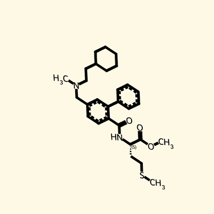 COC(=O)[C@H](CCSC)NC(=O)c1ccc(CN(C)CCC2CCCCC2)cc1-c1ccccc1